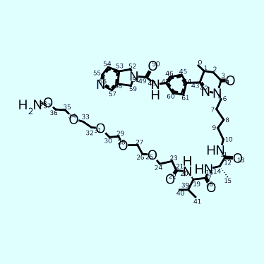 CC1CC(=O)N(CCCCCNC(=O)[C@H](C)NC(=O)[C@@H](NC(=O)CCOCCOCCOCCOCCON)C(C)C)N=C1c1ccc(NC(=O)N2Cc3ccncc3C2)cc1